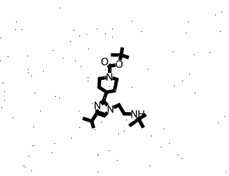 CC(C)c1cn(CCNC(C)(C)C)c(C2CCN(C(=O)OC(C)(C)C)CC2)n1